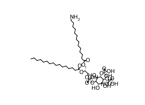 CCCCCCCCCCCCCCCC(=O)O[C@H](COC(=O)CCCCCCCCCCCCCN)COP(=O)(O)OC1C(O)[C@H](OP(=O)(O)O)C(OP(=O)(O)O)[C@H](O)[C@@H]1O